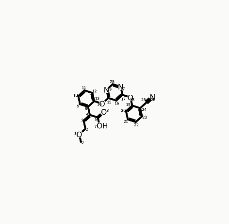 COCC=C(C(=O)O)c1ccccc1Oc1cc(Oc2ccccc2C#N)ncn1